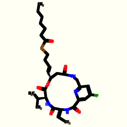 C/C=C1\NC(=O)c2cc(F)cc(n2)CNC(=O)C[C@@H](/C=C/CCSC(=O)CCCCCC)OC(=O)[C@H](C(C)C)NC1=O